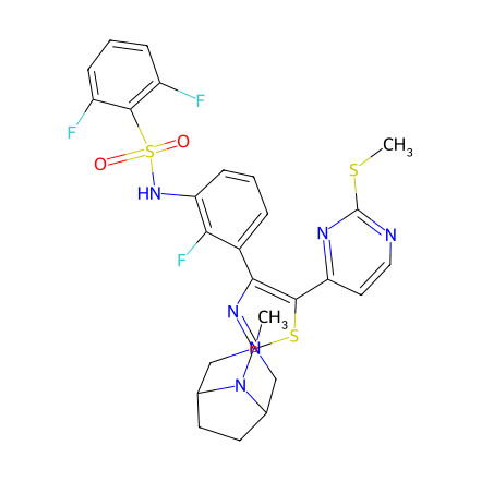 CSc1nccc(-c2sc(N3C4CCC3CN(C)C4)nc2-c2cccc(NS(=O)(=O)c3c(F)cccc3F)c2F)n1